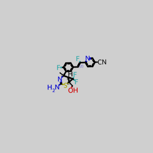 C[C@]1(c2cc(/C=C(\F)c3ccc(C#N)cn3)ccc2F)N=C(N)S[C@]2(CO)[C@@H]1C2(F)F